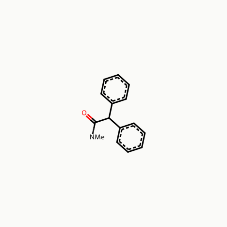 CNC(=O)C(c1ccccc1)c1ccccc1